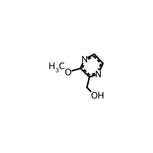 COc1nccnc1CO